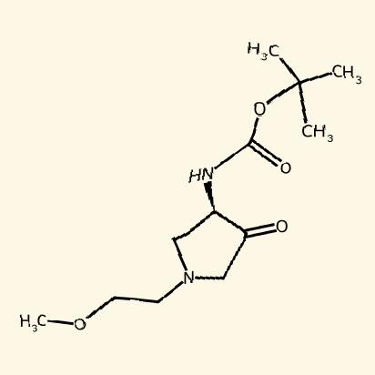 COCCN1CC(=O)[C@H](NC(=O)OC(C)(C)C)C1